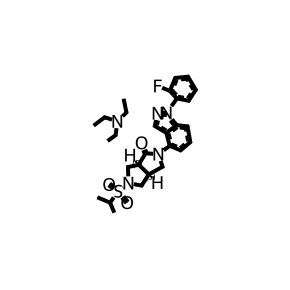 CC(C)S(=O)(=O)N1C[C@@H]2CN(c3cccc4c3cnn4-c3ccccc3F)C(=O)[C@@H]2C1.CCN(CC)CC